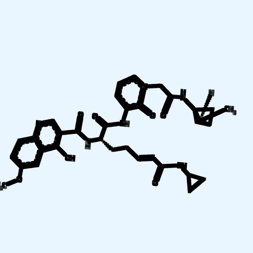 C[C@H]1C2CC1(NC(=O)Cn1cccc(NC(=O)[C@H](CC/C=C/C(=O)NC3CC3)NC(=O)c3cnc4ccc(OC(F)(F)F)cc4c3O)c1=O)C2